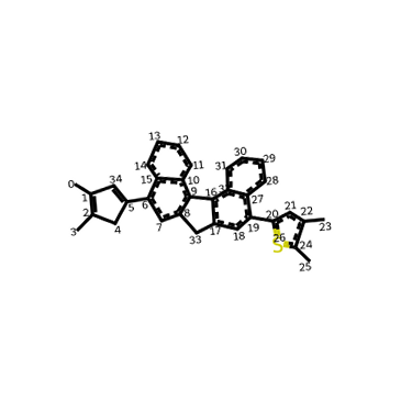 CC1=C(C)CC(c2cc3c(c4ccccc24)-c2c(cc(-c4cc(C)c(C)s4)c4ccccc24)C3)=C1